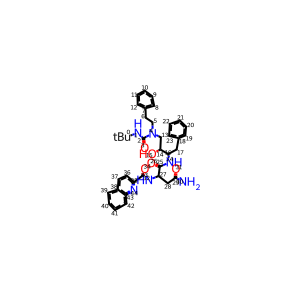 CC(C)(C)NC(=O)N(CCc1ccccc1)CC(O)C(Cc1ccccc1)NC(=O)C(CC(N)=O)NC(=O)c1ccc2ccccc2n1